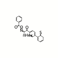 CCCCCCC(=NOC(=O)c1ccccc1)C(=O)c1ccc(C2=CC=CCC2=S)cc1